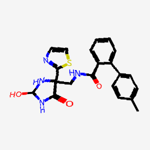 Cc1ccc(-c2ccccc2C(=O)NCC2(c3nccs3)NC(O)NC2=O)cc1